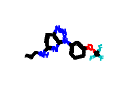 CCCNc1ccc2nnn(-c3cccc(OC(F)(F)F)c3)c2n1